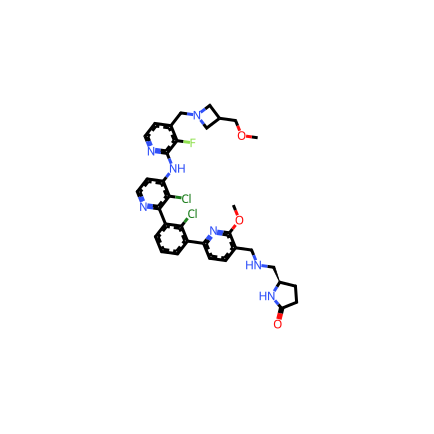 COCC1CN(Cc2ccnc(Nc3ccnc(-c4cccc(-c5ccc(CNC[C@H]6CCC(=O)N6)c(OC)n5)c4Cl)c3Cl)c2F)C1